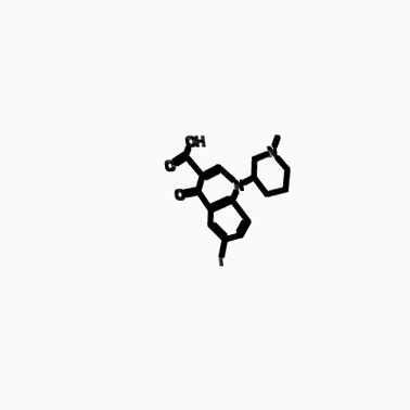 CN1CCCC(n2cc(C(=O)O)c(=O)c3cc(I)ccc32)C1